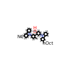 CCCCCCCCc1ccc2c(c1)c1ccccc1n2-c1ccc(O)c(-c2cc(-n3c4ccccc4c4cc(C#N)ccc43)ccc2C)c1